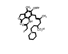 COc1c(C)c2c(c(NC(=O)CF)c1C/C=C(\C)CC(CCN1CCCCC1)C(=O)O)C(=O)OC2